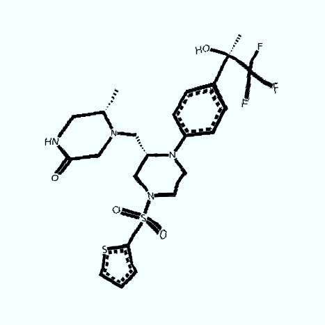 C[C@H]1CNC(=O)CN1C[C@H]1CN(S(=O)(=O)c2cccs2)CCN1c1ccc([C@@](C)(O)C(F)(F)F)cc1